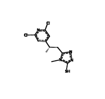 C[C@@H](Cc1nnc(S)n1C)c1cc(Cl)nc(Cl)c1